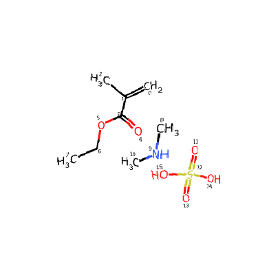 C=C(C)C(=O)OCC.CNC.O=S(=O)(O)O